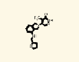 O=c1[nH]ncc(N2Cc3cccc(NCC4CCCO4)c3C2)c1C(F)(F)F